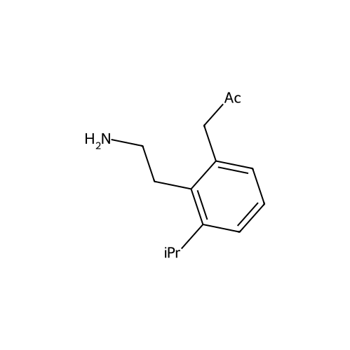 CC(=O)Cc1cccc(C(C)C)c1CCN